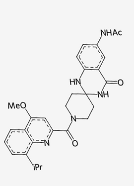 COc1cc(C(=O)N2CCC3(CC2)NC(=O)c2cc(NC(C)=O)ccc2N3)nc2c(C(C)C)cccc12